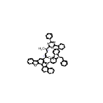 C/C(=C\C=C(/C)c1cc2c3ccccc3oc2c2c3ccc4ccccc4c3n(-c3ccc4c(c3)c3ccccc3n4Cc3ccccc3)c12)c1nc(-c2ccccc2)nc(-c2ccccc2)n1